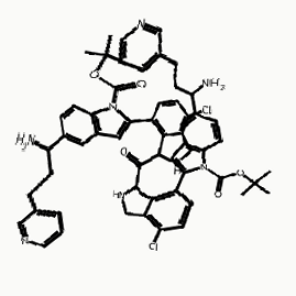 CC(C)(C)OC(=O)n1c(-c2ccc(Cl)c3c2C(C(=O)C2NCc4c(Cl)ccc(-c5cc6cc(C(N)CCc7cccnc7)ccc6n5C(=O)OC(C)(C)C)c42)NC3)cc2cc(C(N)CCc3cccnc3)ccc21